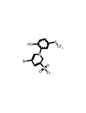 CCS(=O)(=O)C1=CC(Br)=CN(c2cc(SC(F)(F)F)ccc2O)C1